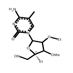 CCOC1C(n2cc(C)c(N)nc2=O)O[C@](CC)(CN=O)C1OC